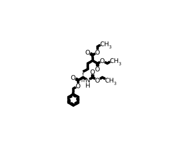 CCOC(=O)N[C@@H](CCCC(C(=O)OCC)C(=O)OCC)C(=O)OCc1ccccc1